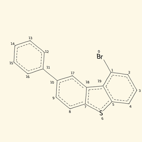 Brc1cccc2sc3ccc(-c4ccccc4)cc3c12